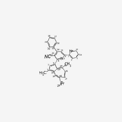 Cc1cc(-c2nc(-c3ccccn3)cc(-c3ccccc3)c2C#N)c2c(C)ccc(C(C)C)cc1-2